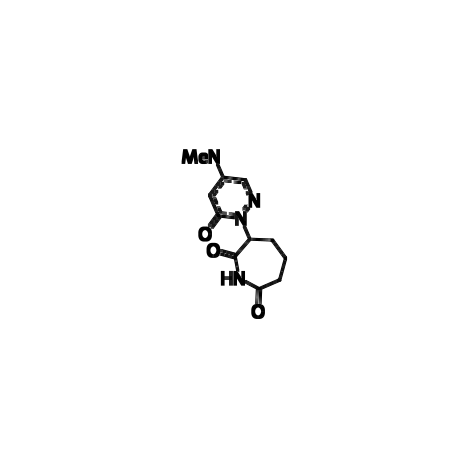 CNc1cnn(C2CCCC(=O)NC2=O)c(=O)c1